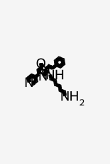 NCCCCCCNc1nc(-c2ccncc2)cc(=O)n1C=Cc1ccccc1